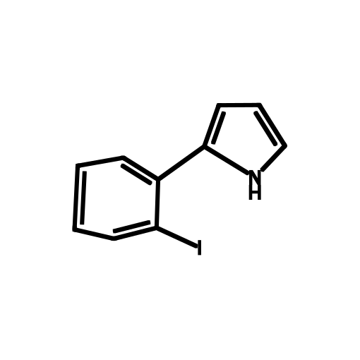 Ic1ccccc1-c1ccc[nH]1